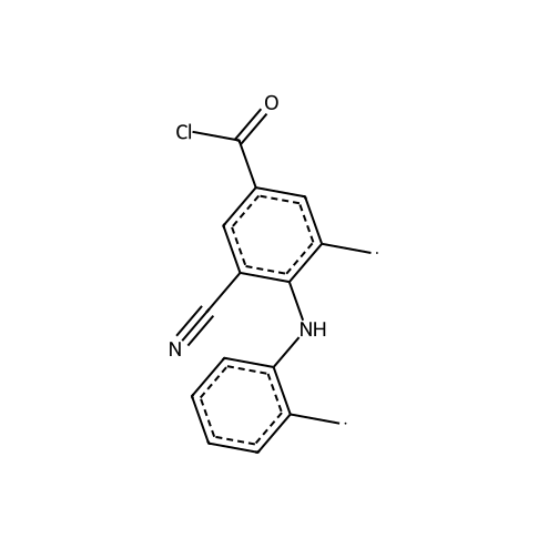 [CH2]c1ccccc1Nc1c([CH2])cc(C(=O)Cl)cc1C#N